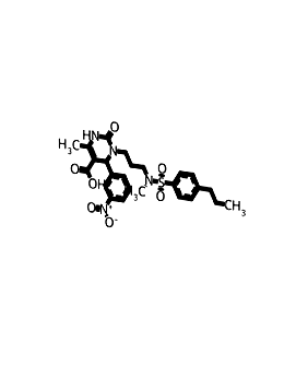 CCCc1ccc(S(=O)(=O)N(C)CCCN2C(=O)NC(C)=C(C(=O)O)C2c2cccc([N+](=O)[O-])c2)cc1